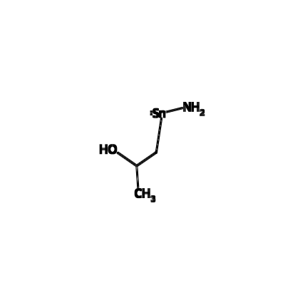 CC(O)[CH2][Sn][NH2]